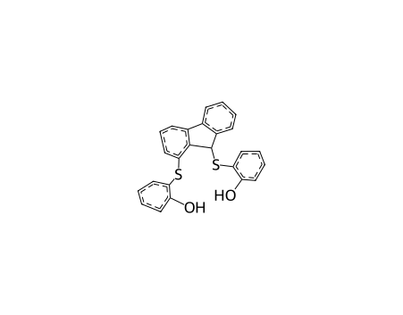 Oc1ccccc1Sc1cccc2c1C(Sc1ccccc1O)c1ccccc1-2